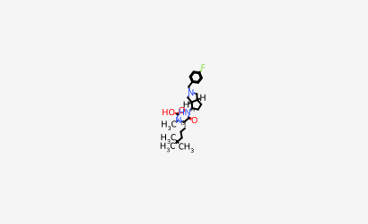 CN(C(=O)O)[C@@H](CCCC(C)(C)C)C(=O)N[C@@H]1CC[C@H]2CN(Cc3ccc(F)cc3)C[C@H]21